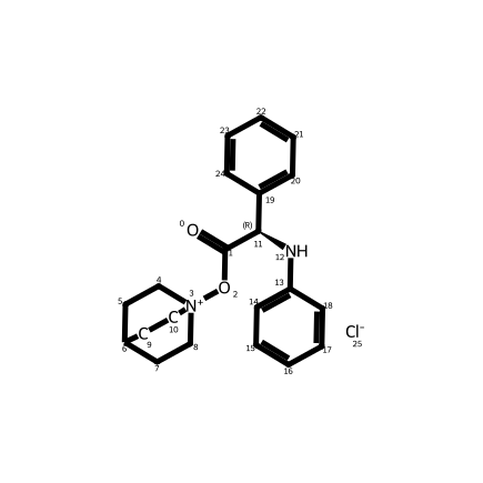 O=C(O[N+]12CCC(CC1)CC2)[C@H](Nc1ccccc1)c1ccccc1.[Cl-]